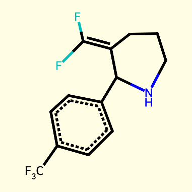 FC(F)=C1CCCNC1c1ccc(C(F)(F)F)cc1